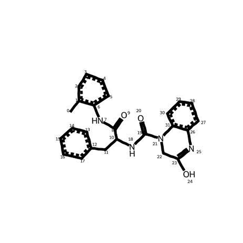 Cc1ccccc1NC(=O)C(Cc1ccccc1)NC(=O)N1CC(O)=Nc2ccccc21